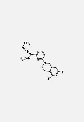 C=N/C(=N\C=C/C)c1nccc(N2CCc3c(F)cc(F)cc3C2)n1